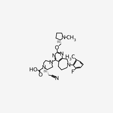 Cc1cccc(F)c1N1CCCc2c(nc(OC[C@@H]3CCCN3C)nc2N2CCN(C(=O)O)[C@@H](CC#N)C2)C1